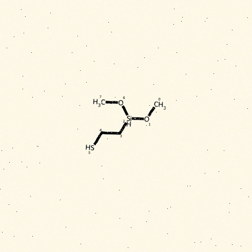 CO[SiH](CCS)OC